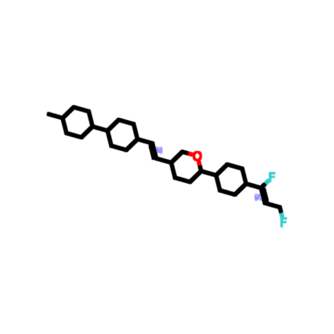 CC1CCC(C2CCC(/C=C/C3CCC(C4CCC(/C(F)=C/CF)CC4)OC3)CC2)CC1